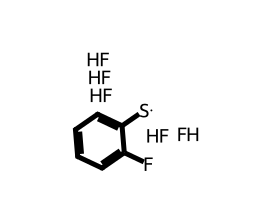 F.F.F.F.F.Fc1ccccc1[S]